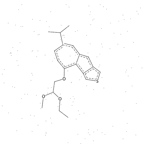 CCOC(COc1ccc(C(C)C)cc2cc3cscc3c1-2)OC